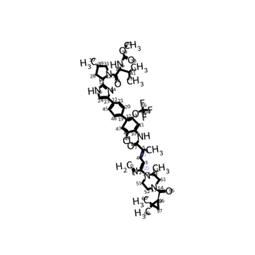 C=N/C(=C\C=C(/C)C(=O)Nc1cc(OC(F)(F)F)c(-c2ccc(-c3c[nH]c([C@@H]4C[C@H](C)CN4C(=O)[C@@H](NC(=O)OC)C(C)C)n3)cc2)cc1Cl)N1CCN(C(=O)[C@H]2CC2(C)C)C[C@H]1C